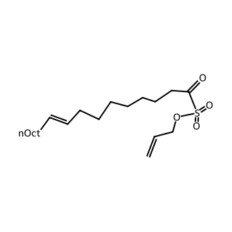 C=CCOS(=O)(=O)C(=O)CCCCCCCC=CCCCCCCCC